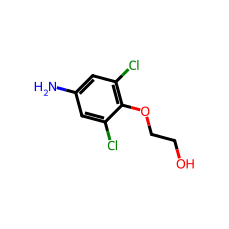 Nc1cc(Cl)c(OCCO)c(Cl)c1